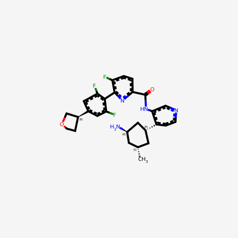 C[C@@H]1C[C@@H](N)C[C@H](c2ccncc2NC(=O)c2ccc(F)c(-c3c(F)cc([C@H]4CCOC4)cc3F)n2)C1